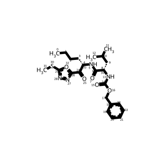 CCCC[C@H](NC(=O)[C@H](CC(C)C)NC(=O)OCc1ccccc1)C(=O)c1nnc(SC)o1